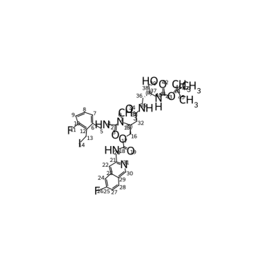 CN(C(=O)NCc1cccc(F)c1CI)[C@H](COC(=O)Nc1cc2cc(F)ccc2cn1)CC(=O)NC[C@H](CO)NC(=O)OC(C)(C)C